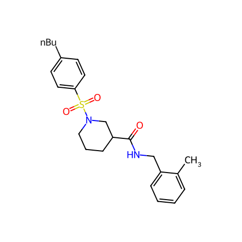 CCCCc1ccc(S(=O)(=O)N2CCCC(C(=O)NCc3ccccc3C)C2)cc1